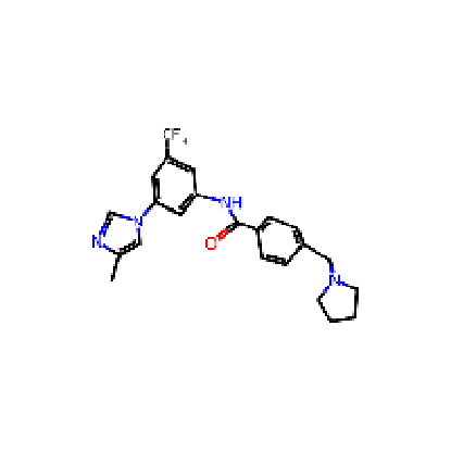 Cc1cn(-c2cc(NC(=O)c3ccc(CN4CCCC4)cc3)cc(C(F)(F)F)c2)cn1